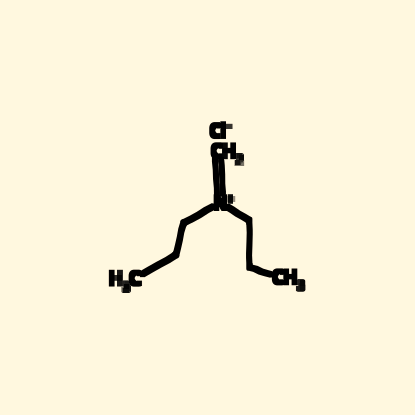 C=[N+](CCC)CCC.[Cl-]